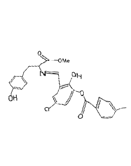 COC(=O)C(Cc1ccc(O)cc1)N=Cc1cc(Cl)cc(OC(=O)c2ccc(C)cc2)c1O